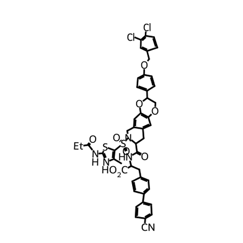 CCC(=O)Nc1nc(C)c(S(=O)(=O)N2Cc3cc4c(cc3CC2C(=O)NC(Cc2ccc(-c3ccc(C#N)cc3)cc2)C(=O)O)OCC(c2ccc(OCc3ccc(Cl)c(Cl)c3)cc2)O4)s1